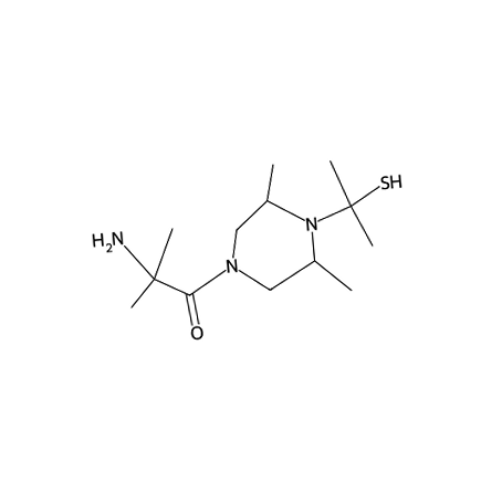 CC1CN(C(=O)C(C)(C)N)CC(C)N1C(C)(C)S